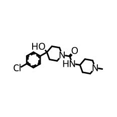 CN1CCC(NC(=O)N2CCC(O)(c3ccc(Cl)cc3)CC2)CC1